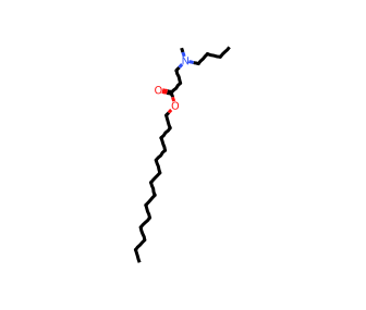 CCCCCCCCCCCCCCOC(=O)CCN(C)CCCC